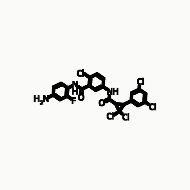 Nc1ccc(NC(=O)c2cc(NC(=O)C3C(c4cc(Cl)cc(Cl)c4)C3(Cl)Cl)ccc2Cl)c(F)c1